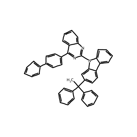 CC(c1ccccc1)(c1ccccc1)c1ccc2c3ccccc3n(-c3nc(-c4ccc(-c5ccccc5)cc4)c4ccccc4n3)c2c1